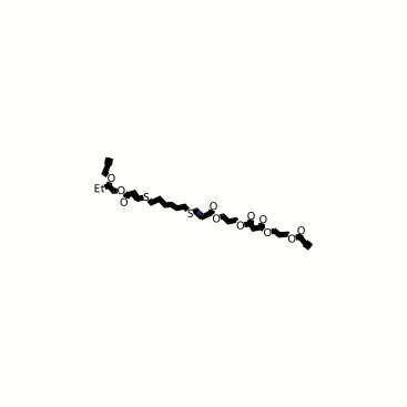 C#CCOC(CC)COC(=O)C=CSCCCCCCS/C=C/C(=O)OCCCOC(=O)CC(=O)OCCCOC(=O)C#C